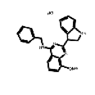 COc1cccc2c(NCc3ccccc3)nc(C3CNc4ccccc43)nc12.Cl